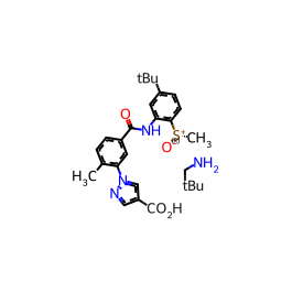 CC(C)(C)CN.Cc1ccc(C(=O)Nc2cc(C(C)(C)C)ccc2[S@+](C)[O-])cc1-n1cc(C(=O)O)cn1